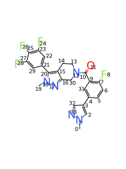 Cn1cc(-c2ccc(F)c(C(=O)N3CCc4c(nn(C)c4-c4cc(F)c(F)c(F)c4)C3)c2)cn1